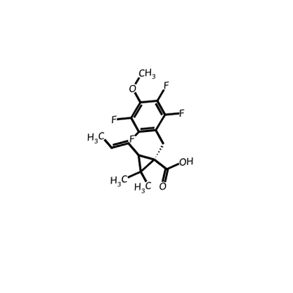 CC=CC1C(C)(C)[C@]1(Cc1c(F)c(F)c(OC)c(F)c1F)C(=O)O